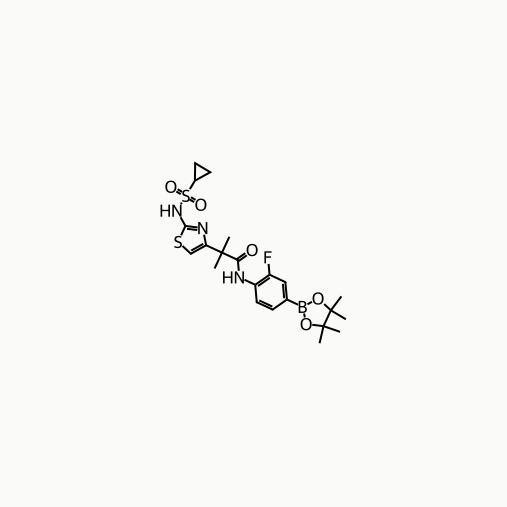 CC(C)(C(=O)Nc1ccc(B2OC(C)(C)C(C)(C)O2)cc1F)c1csc(NS(=O)(=O)C2CC2)n1